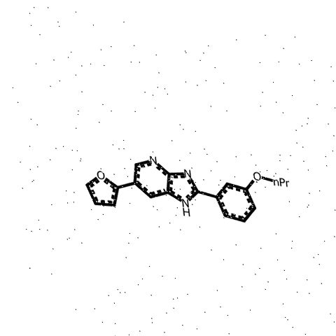 CCCOc1cccc(-c2nc3ncc(-c4ccco4)cc3[nH]2)c1